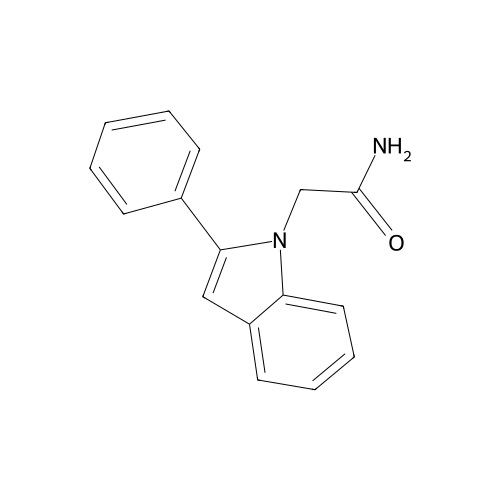 NC(=O)Cn1c(-c2ccccc2)cc2ccccc21